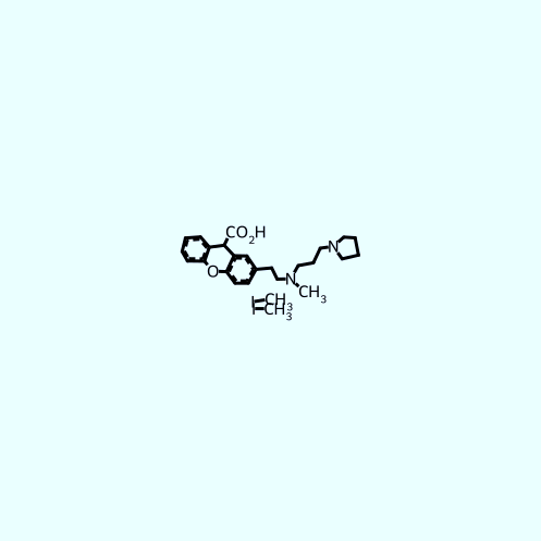 CI.CI.CN(CCCN1CCCC1)CCc1ccc2c(c1)C(C(=O)O)c1ccccc1O2